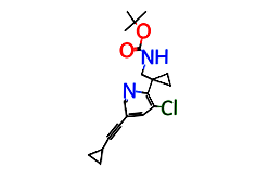 CC(C)(C)OC(=O)NCC1(c2ncc(C#CC3CC3)cc2Cl)CC1